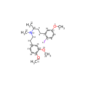 COc1ccc(I)c(CCC(C)N(C)CCc2ccc(OC)c(OC)c2)c1